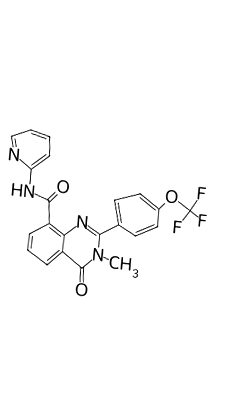 Cn1c(-c2ccc(OC(F)(F)F)cc2)nc2c(C(=O)Nc3ccccn3)cccc2c1=O